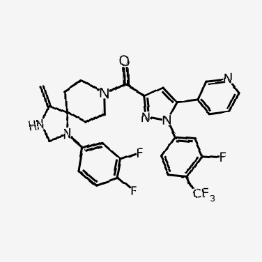 C=C1NCN(c2ccc(F)c(F)c2)C12CCN(C(=O)c1cc(-c3cccnc3)n(-c3ccc(C(F)(F)F)c(F)c3)n1)CC2